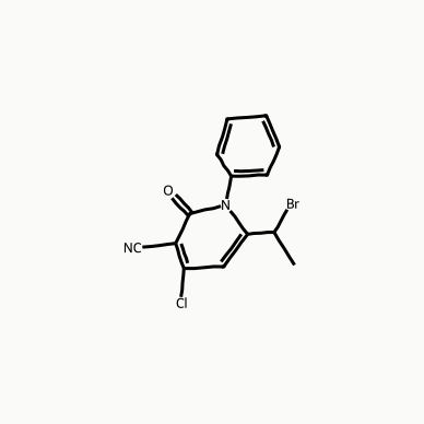 CC(Br)c1cc(Cl)c(C#N)c(=O)n1-c1ccccc1